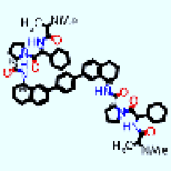 CNC(C)C(=O)NC(C(=O)N1CCC[C@@H]1C(=O)N[C@@H]1CCCc2ccc(-c3ccc(-c4ccc5c(c4)[C@H](NC(=O)[C@@H]4CCCN4C(=O)C(NC(=O)C(C)NC)C4CCCCC4)CCC5)cc3)cc21)C1CCCCC1